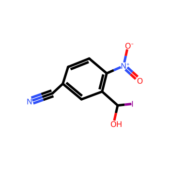 N#Cc1ccc([N+](=O)[O-])c(C(O)I)c1